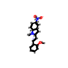 COc1ccccc1/C=C/c1cc2cc([N+](=O)[O-])ccc2n1C